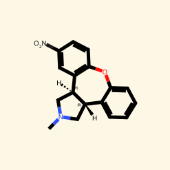 CN1C[C@H]2c3ccccc3Oc3ccc([N+](=O)[O-])cc3[C@@H]2C1